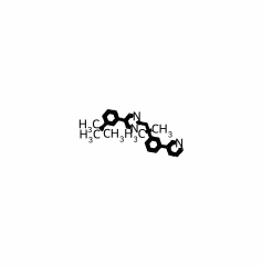 CC(C)(C)c1cccc(-c2cnc(CC(C)(C)c3cccc(-c4cccnc4)c3)nc2)c1